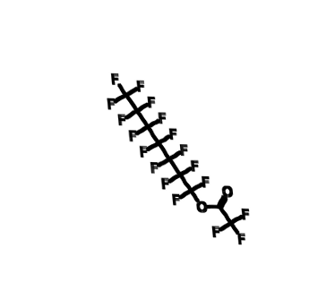 O=C(OC(F)(F)C(F)(F)C(F)(F)C(F)(F)C(F)(F)C(F)(F)C(F)(F)F)C(F)(F)F